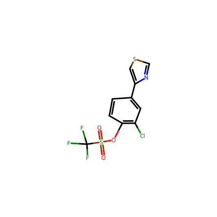 O=S(=O)(Oc1ccc(-c2cscn2)cc1Cl)C(F)(F)F